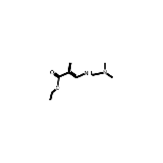 CCOC(=O)C(C)=CNCN(C)C